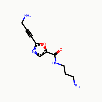 NCC#Cc1ncc(C(=O)NCCCN)o1